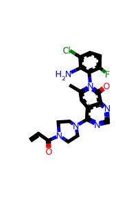 C=CC(=O)N1CCN(c2ncnc3c(=O)n(-c4c(F)ccc(Cl)c4N)c(C)cc23)CC1